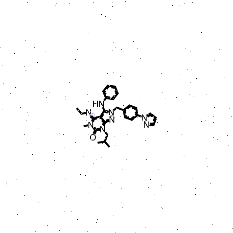 CC/N=c1/c2c(Nc3ccccc3)n(Cc3ccc(-n4cccn4)cc3)nc2n(CC(C)C)c(=O)n1C